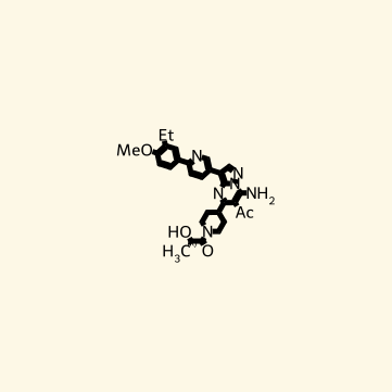 CCc1cc(-c2ccc(-c3cnn4c(N)c(C(C)=O)c(C5CCN(C(=O)[C@@H](C)O)CC5)nc34)cn2)ccc1OC